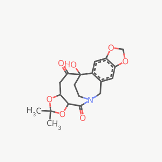 CC1(C)OC2CC(=O)C3(O)CCN(Cc4cc5c(cc43)OCO5)C(=O)C2O1